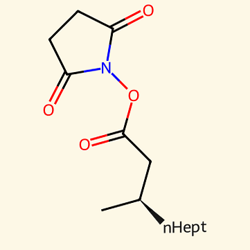 CCCCCCC[C@@H](C)CC(=O)ON1C(=O)CCC1=O